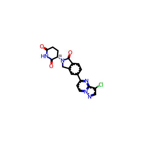 O=C1CC[C@H](N2Cc3cc(-c4ccn5ncc(Cl)c5n4)ccc3C2=O)C(=O)N1